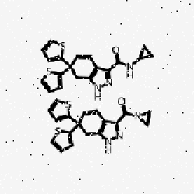 O=C(NC1CC1)c1n[nH]c2c1C=CC(c1cccs1)(c1cccs1)C2.O=C(c1n[nH]c2c1C=CC(c1cccs1)(c1cccs1)C2)N1CC1